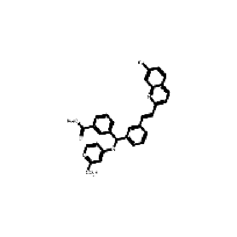 COC(=O)c1cccc(C(Sc2ccnc(C(=O)O)c2)c2cccc(C=Cc3ccc4ccc(Cl)cc4n3)c2)c1